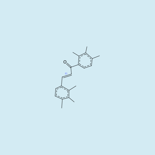 Cc1ccc(/C=C/C(=O)c2ccc(C)c(C)c2C)c(C)c1C